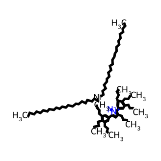 CCCCC1=C(c2cc(CCCC)c(CCCC)c(CCCC)c2)[N+](=[N-])C(c2cc(CCCC)c(CCCC)c(CCCC)c2)=C1.CCCCCCCCCCCCCCCCCCCCCCC[CH2][Ni][CH2]CCCCCCCCCCCCCCCCCCCCCCC